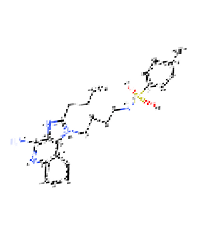 COCCc1nc2c(N)nc3ccccc3c2n1CCCCNS(=O)(=O)c1ccc(C(C)C)cc1